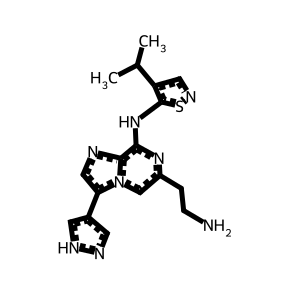 CC(C)c1cnsc1Nc1nc(CCN)cn2c(-c3cn[nH]c3)cnc12